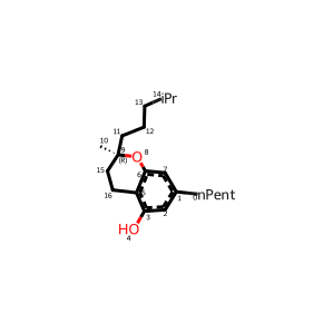 CCCCCc1cc(O)c2c(c1)O[C@](C)(CCCC(C)C)CC2